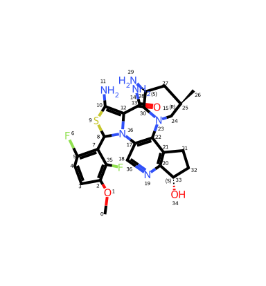 COc1ccc(F)c(C2SC(N)=C(C(N)=O)N2c2cnc3c(c2N2C[C@H](C)C[C@H](N)C2)CC[C@@H]3O)c1F